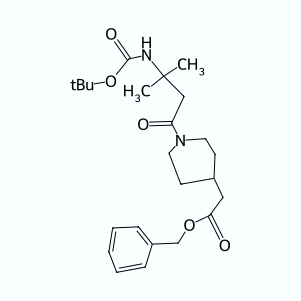 CC(C)(CC(=O)N1CCC(CC(=O)OCc2ccccc2)CC1)NC(=O)OC(C)(C)C